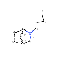 CCCCN1CC2CCC1CC2